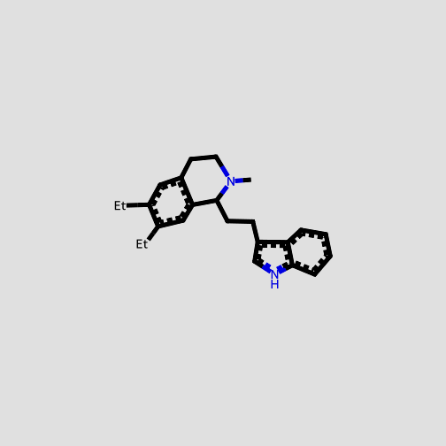 CCc1cc2c(cc1CC)C(CCc1c[nH]c3ccccc13)N(C)CC2